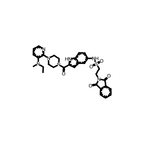 CCN(C)c1cccnc1N1CCN(C(=O)c2cc3cc(NS(=O)(=O)CCN4C(=O)c5ccccc5C4=O)ccc3[nH]2)CC1